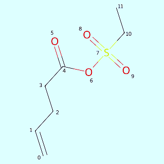 C=CCCC(=O)OS(=O)(=O)CC